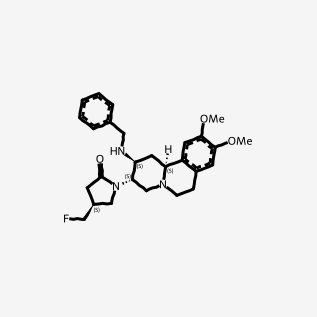 COc1cc2c(cc1OC)[C@@H]1C[C@H](NCc3ccccc3)[C@@H](N3C[C@@H](CF)CC3=O)CN1CC2